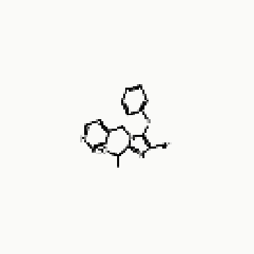 CC(=O)OC(C)c1nc(C(C)C)c(Sc2ccccc2)n1Cc1ccncc1